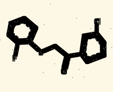 O=C(CSc1ccccc1F)c1cccc(Cl)c1